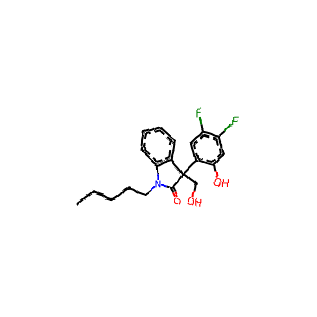 CCCCCN1C(=O)C(CO)(c2cc(F)c(F)cc2O)c2ccccc21